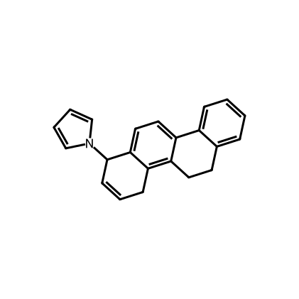 C1=CC(n2cccc2)c2ccc3c(c2C1)CCc1ccccc1-3